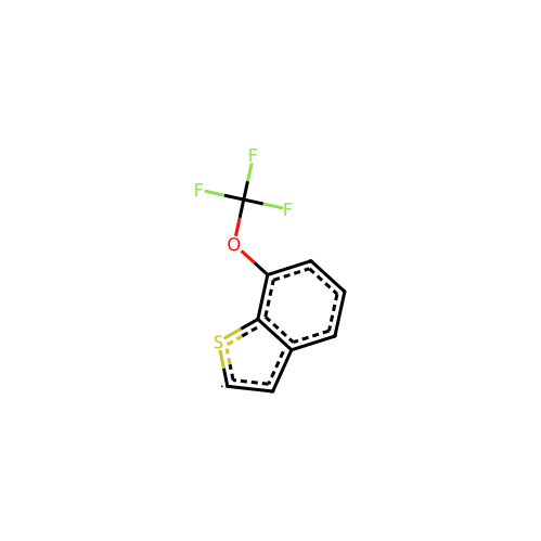 FC(F)(F)Oc1cccc2c[c]sc12